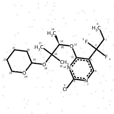 CCC(F)(F)c1cnc(Cl)nc1O[C@H](C)C(C)(C)OC1CCCCO1